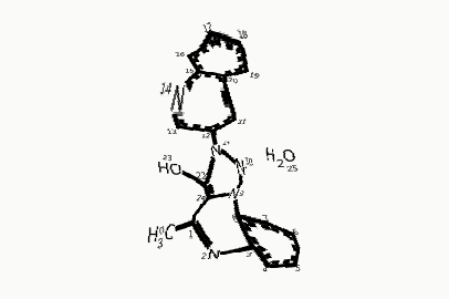 CC1=Nc2ccccc2N2[N]N(c3cnc4ccccc4c3)C(O)=C12.O